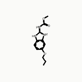 CCCOc1ccc2c(c1)NC(NC(=O)OC)N2